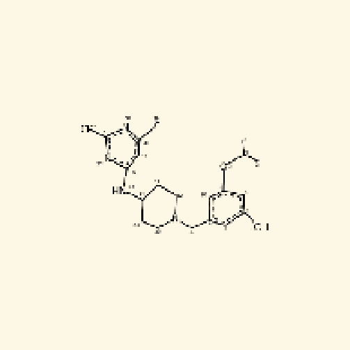 CC(C)Oc1cc(O)cc(CN2CCC(Nc3cc(Cl)nc(Cl)n3)CC2)c1